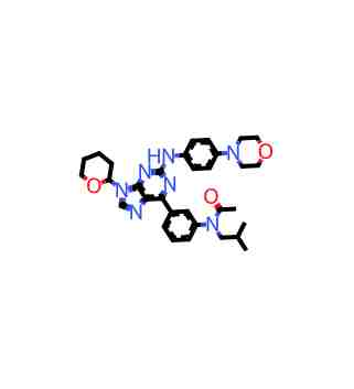 CC(=O)N(CC(C)C)c1cccc(-c2nc(Nc3ccc(N4CCOCC4)cc3)nc3c2ncn3C2CCCCO2)c1